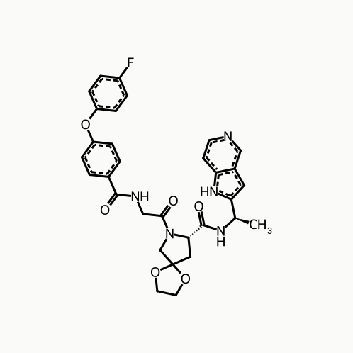 C[C@@H](NC(=O)[C@@H]1CC2(CN1C(=O)CNC(=O)c1ccc(Oc3ccc(F)cc3)cc1)OCCO2)c1cc2cnccc2[nH]1